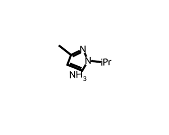 Cc1ccn(C(C)C)n1.N